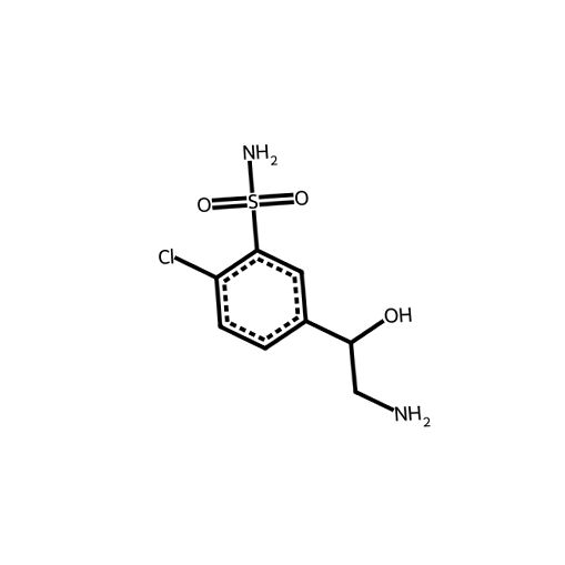 NCC(O)c1ccc(Cl)c(S(N)(=O)=O)c1